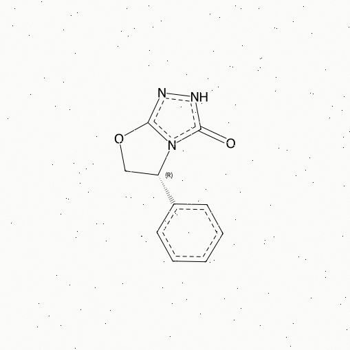 O=c1[nH]nc2n1[C@H](c1ccccc1)CO2